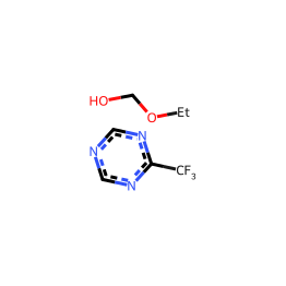 CCOCO.FC(F)(F)c1ncncn1